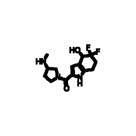 CNC1CCN(C(=O)c2cc3c([nH]2)CCC(F)(F)C3O)C1